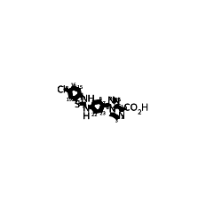 O=C(O)c1nccn2c(-c3ccc(NC4Nc5ccc(Cl)cc5S4)cc3)nnc12